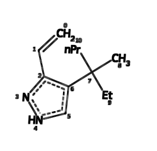 C=Cc1n[nH]cc1C(C)(CC)CCC